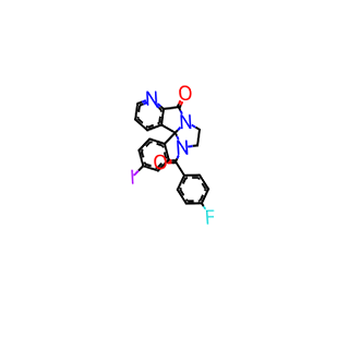 O=C(c1ccc(F)cc1)N1CCN2C(=O)c3ncccc3C12c1ccc(I)cc1